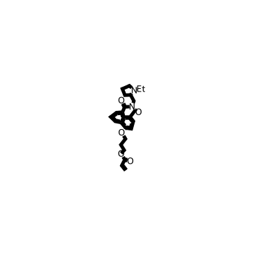 C=CC(=O)OCCCOc1ccc2c3c(cccc13)C(=O)N(CC1CCCN1CC)C2=O